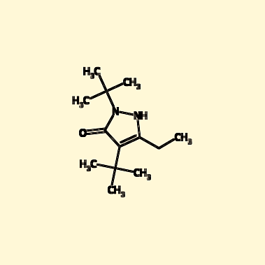 CCc1[nH]n(C(C)(C)C)c(=O)c1C(C)(C)C